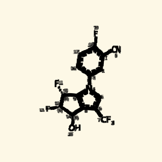 N#Cc1cc(-n2cc(C(F)(F)F)c3c2[C@@H](F)[C@H](F)[C@@H]3O)ccc1F